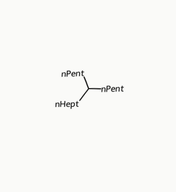 [CH2]CCCCC(CCCCC)CCCCCCC